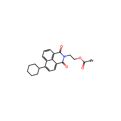 CC(C)C(=O)OCCN1C(=O)c2cccc3c(C4CCCCC4)ccc(c23)C1=O